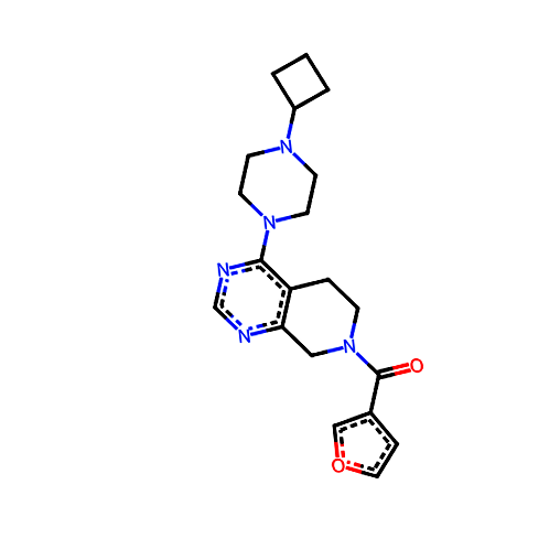 O=C(c1ccoc1)N1CCc2c(ncnc2N2CCN(C3CCC3)CC2)C1